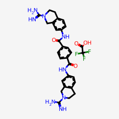 N=C(N)N1CCc2ccc(NC(=O)c3ccc(C(=O)Nc4ccc5c(c4)CN(C(=N)N)CC5)cc3)cc2C1.O=C(O)C(F)(F)F